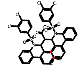 O=C(O)C(C1c2cc(F)ccc2-c2ccccc2N1S(=O)(=O)c1ccc(Cl)c(Cl)c1)C1c2cc(F)ccc2-c2ccccc2N1S(=O)(=O)c1ccc(Cl)c(Cl)c1